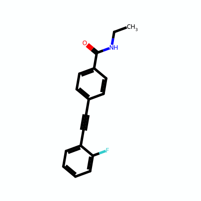 CCNC(=O)c1ccc(C#Cc2ccccc2F)cc1